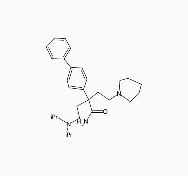 CC(C)N(CCC(CCN1CCCCC1)(C(N)=O)c1ccc(-c2ccccc2)cc1)C(C)C